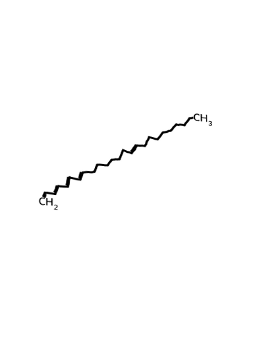 C=CC=CC=CC=CCCCCCCC=CCCCCCCCCC